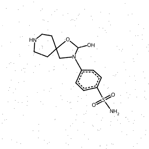 NS(=O)(=O)c1ccc(N2CC3(CCNCC3)OC2O)cc1